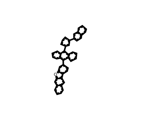 c1cc(-c2ccc3ccccc3c2)cc(-c2c3ccccc3c(-c3ccc4c(c3)oc3cc5ccccc5cc34)c3ccccc23)c1